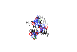 C=CC(=O)N1CCN(c2nc(OC[C@@H]3CCCN3C)nc3c2CCN(c2cc(C4C[C@@H](COc5nc6c(c(N7CCN(C(=O)C8=CCC8)[C@@H](CC#N)C7)n5)CCN(c5cc(C7C[C@@H](COc8nc9c(c(N%10CCN(C(=O)C#CC)[C@@H](CC#N)C%10)n8)CCN(c8cccc%10cccc(Cl)c8%10)C9)N(C)C7)cc(C)c5C)C6)N(C)C4)cc(C)c2C(F)(F)F)C3)C[C@@H]1CC#N